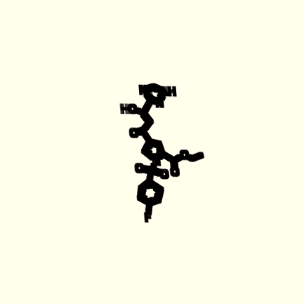 CCOC(=O)c1cc(C(=O)C=C(O)c2nc[nH]n2)cn1S(=O)(=O)c1ccc(F)cc1